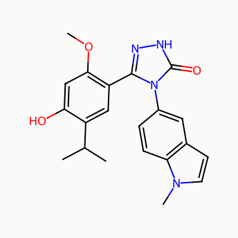 COc1cc(O)c(C(C)C)cc1-c1n[nH]c(=O)n1-c1ccc2c(ccn2C)c1